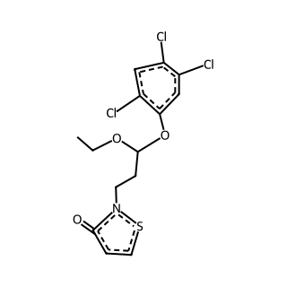 CCOC(CCn1sccc1=O)Oc1cc(Cl)c(Cl)cc1Cl